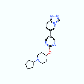 c1cc2nncn2cc1-c1cnc(OC2CCN(C3CCCC3)CC2)nc1